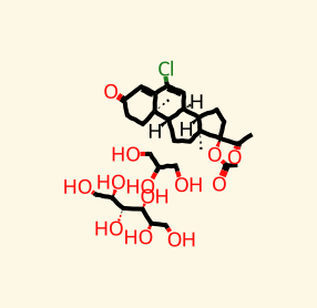 CC(=O)O[C@]1(C(C)=O)CC[C@H]2[C@@H]3C=C(Cl)C4=CC(=O)CC[C@]4(C)[C@H]3CC[C@@]21C.OCC(O)CO.OC[C@@H](O)[C@@H](O)[C@H](O)[C@H](O)CO